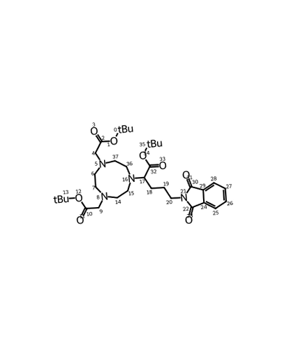 CC(C)(C)OC(=O)CN1CCN(CC(=O)OC(C)(C)C)CCN(C(CCCN2C(=O)c3ccccc3C2=O)C(=O)OC(C)(C)C)CC1